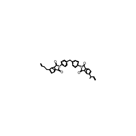 C=CCCC1=CC2CC1C1C(=O)N(c3ccc(Cc4ccc(N5C(=O)C6C7C=C(C(C)C=C)C(C7)C6C5=O)cc4)cc3)C(=O)C21